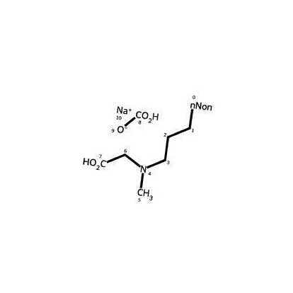 CCCCCCCCCCCCN(C)CC(=O)O.O=C([O-])O.[Na+]